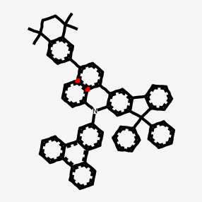 CC1(C)CCC(C)(C)c2cc(-c3ccc(-c4cc5c(cc4N(c4ccccc4)c4ccc6c7ccccc7c7ccccc7c6c4)C(c4ccccc4)(c4ccccc4)c4ccccc4-5)cc3)ccc21